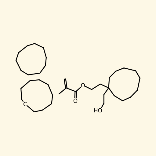 C1CCCCCCCCC1.C1CCCCCCCCC1.C=C(C)C(=O)OCCC1(CCO)CCCCCCCCC1